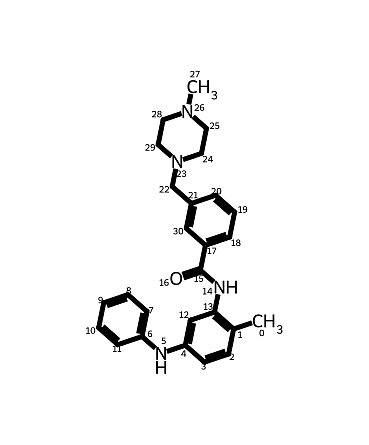 Cc1ccc(Nc2ccccc2)cc1NC(=O)c1cccc(CN2CCN(C)CC2)c1